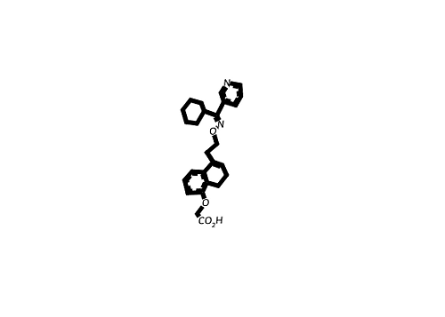 O=C(O)COc1cccc2c1CCC=C2CCON=C(c1cccnc1)C1CCCCC1